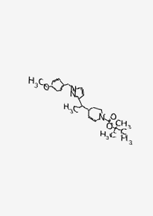 COc1ccc(Cn2ccc(C(C)C3CCN(C(=O)OC(C)(C)C)CC3)n2)cc1